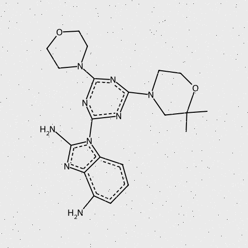 CC1(C)CN(c2nc(N3CCOCC3)nc(-n3c(N)nc4c(N)cccc43)n2)CCO1